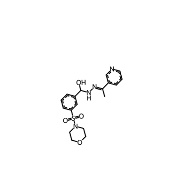 C/C(=N\NC(O)c1cccc(S(=O)(=O)N2CCOCC2)c1)c1cccnc1